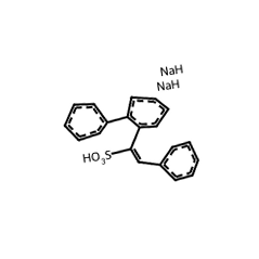 O=S(=O)(O)C(=Cc1ccccc1)c1ccccc1-c1ccccc1.[NaH].[NaH]